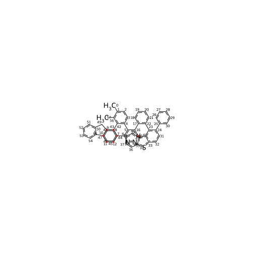 Cc1ccc(-c2c(-c3ccccc3)nnnc2-c2ccccc2-c2c(-c3ccccc3)ccc3sc4ccccc4c23)c(-c2cccc3c2Cc2ccccc2-3)c1C